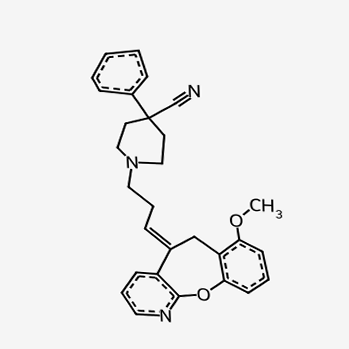 COc1cccc2c1CC(=CCCN1CCC(C#N)(c3ccccc3)CC1)c1cccnc1O2